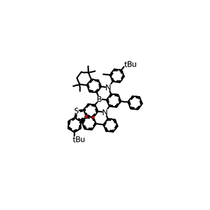 Cc1cc(C(C)(C)C)ccc1N1c2cc3c(cc2B2c4cc5sc6ccc(C(C)(C)C)cc6c5cc4N(c4ccccc4-c4ccccc4)c4cc(-c5ccccc5)cc1c42)C(C)(C)CCC3(C)C